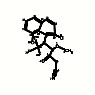 COC(C(=O)CC#N)C(c1c(Cl)ccc2cccc(C)c12)C(F)(F)F